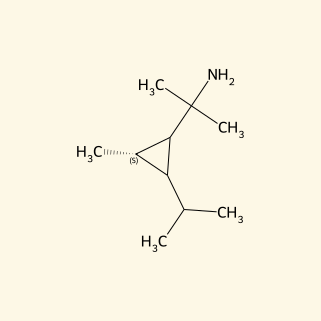 CC(C)C1C(C(C)(C)N)[C@H]1C